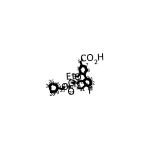 CCOc1cc(CC(=O)O)ccc1-c1ccc(F)c2c1CN(OC(=O)OCc1ccccc1)CC2